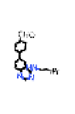 CC(C)CCNc1ncnc2ccc(-c3ccc(C=O)cc3)cc12